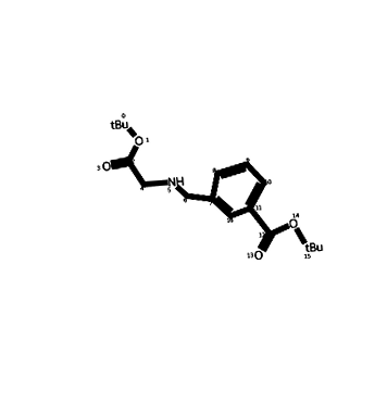 CC(C)(C)OC(=O)CNCc1cccc(C(=O)OC(C)(C)C)c1